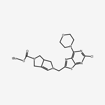 CC(C)(C)OC(=O)N1CC2=CN(Cc3nc4c(N5CCOCC5)nc(Cl)nc4s3)CC2C1